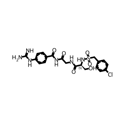 N=C(N)Nc1ccc(C(=O)NC(=O)CNC(=O)[C@H](CO)NS(=O)(=O)Cc2ccc(Cl)cc2)cc1